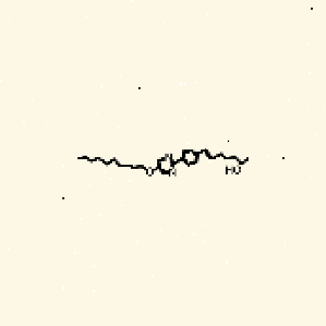 CCCCCCCCCCOc1cnc(-c2ccc(C=CCCCC(C)O)cc2)nc1